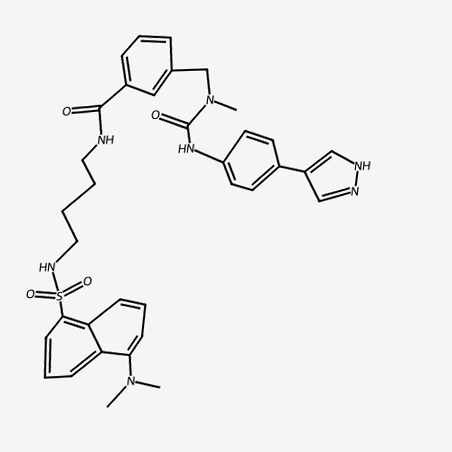 CN(Cc1cccc(C(=O)NCCCCNS(=O)(=O)c2cccc3c(N(C)C)cccc23)c1)C(=O)Nc1ccc(-c2cn[nH]c2)cc1